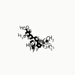 CN(C(=O)OC(C)(C)C)c1cc(F)c(F)c2c1[nH]c1ncc(-c3cnc4c(c3)c(=O)c(C(=O)O)cn4C)c(N3CCNC(C(F)(F)F)C3)c12